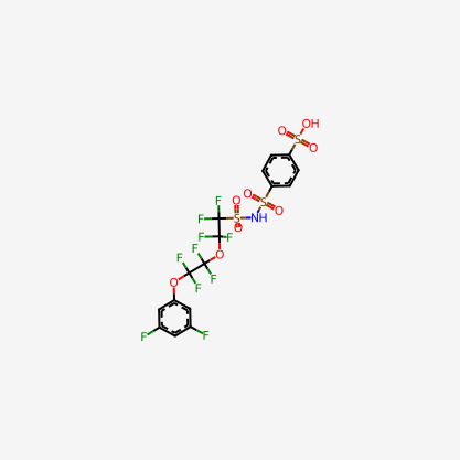 O=S(=O)(O)c1ccc(S(=O)(=O)NS(=O)(=O)C(F)(F)C(F)(F)OC(F)(F)C(F)(F)Oc2cc(F)cc(F)c2)cc1